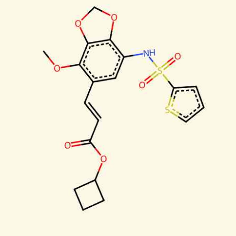 COc1c(/C=C/C(=O)OC2CCC2)cc(NS(=O)(=O)c2cccs2)c2c1OCO2